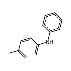 C=C(C)/C=C\C(=C)Nc1ccccc1